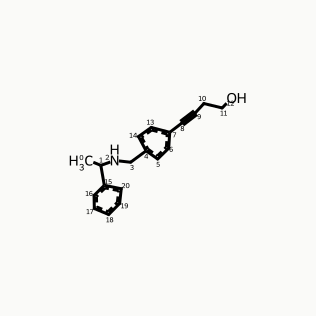 CC(NCc1ccc(C#CCCO)cc1)c1ccccc1